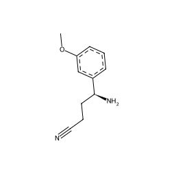 COc1cccc([C@@H](N)CCC#N)c1